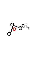 Cc1cccc(C#Cc2ccccc2C(=O)/C=C/c2ccccc2)c1